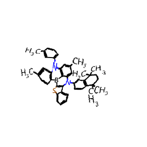 Cc1cccc(N2c3cc(C)ccc3B3c4sc5ccccc5c4N(c4ccc5c(c4)C(C)(C)CCC5(C)C)c4cc(C)cc2c43)c1